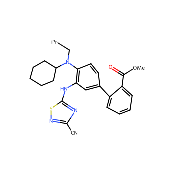 COC(=O)c1ccccc1-c1ccc(N(CC(C)C)C2CCCCC2)c(Nc2nc(C#N)ns2)c1